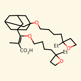 CCC1(CCCCOC(=C(C)C(=O)O)C23CC4CC(CC(OCCCCC5(CC)CCO5)(C4)C2)C3)CCO1